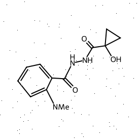 CNc1ccccc1C(=O)NNC(=O)C1(O)CC1